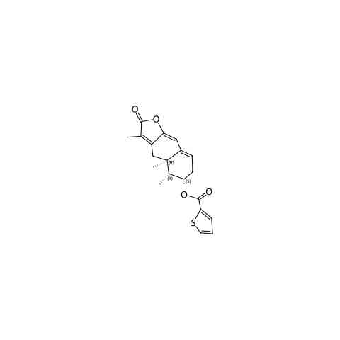 CC1=C2C[C@@]3(C)C(=CC[C@H](OC(=O)c4cccs4)[C@@H]3C)C=C2OC1=O